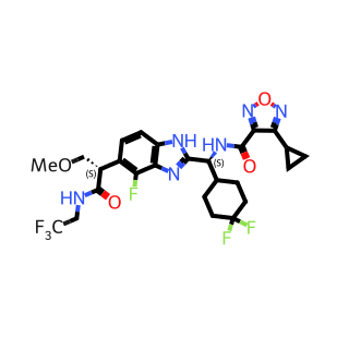 COC[C@@H](C(=O)NCC(F)(F)F)c1ccc2[nH]c([C@@H](NC(=O)c3nonc3C3CC3)C3CCC(F)(F)CC3)nc2c1F